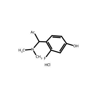 CC(=O)C(c1ccc(O)cc1F)N(C)C.Cl